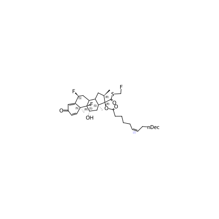 CCCCCCCCCCC/C=C\CCCCC(=O)O[C@]1(C(=O)SCF)[C@H](C)CC2C3C[C@H](F)C4=CC(=O)C=C[C@]4(C)[C@@]3(F)[C@@H](O)C[C@@]21C